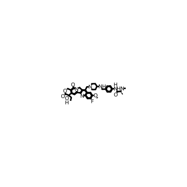 CC[C@@]1(O)C(=O)OCc2c1cc1n(c2=O)Cc2c-1nc1cc(F)c(OC)cc1c2CN1CCC(NCc2ccc(NC(=O)[C@H](C)NC)cc2)CC1